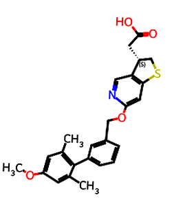 COc1cc(C)c(-c2cccc(COc3cc4c(cn3)[C@H](CC(=O)O)CS4)c2)c(C)c1